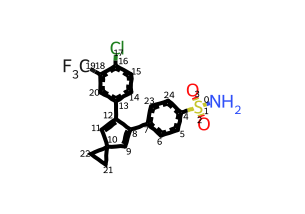 NS(=O)(=O)c1ccc(C2=CC3(C=C2c2ccc(Cl)c(C(F)(F)F)c2)CC3)cc1